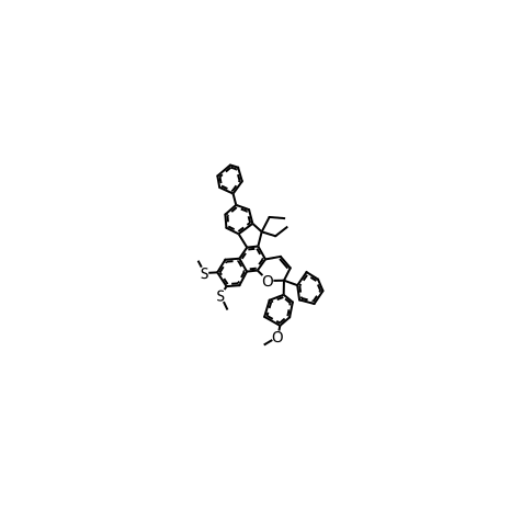 CCC1(CC)c2cc(-c3ccccc3)ccc2-c2c1c1c(c3cc(SC)c(SC)cc23)OC(c2ccccc2)(c2ccc(OC)cc2)C=C1